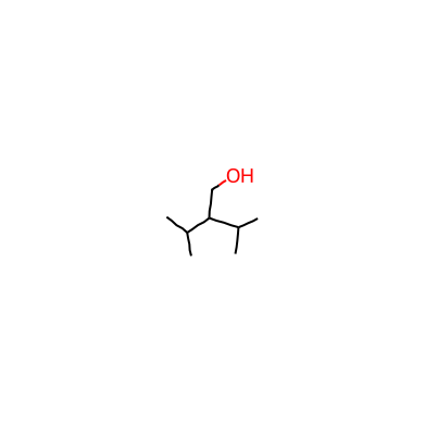 CC(C)C(CO)C(C)C